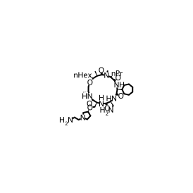 CCCCCC[C@H]1OC[C@@H](C)NC(=O)[C@H](CO[C@H]2CCN(CCN)C2)NC(=O)[C@H](CN)NC(=O)[C@H](C2CCCCCC2)NC(=O)[C@H](CCC)N(C)C(=O)[C@@H]1C